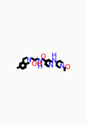 CC(=O)N1CCC(Nc2cc(C(=O)NCC(O)CN3CCc4cc(C)ccc4C3)ccn2)CC1